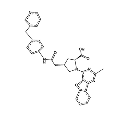 Cc1nc(N2C[C@@H](CC(=O)Nc3ccc(Cc4cccnc4)cc3)C[C@H]2C(=O)O)c2oc3ccccc3c2n1